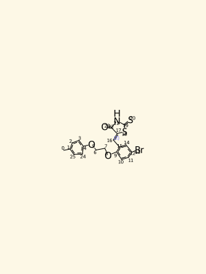 Cc1ccc(OCCOc2ccc(Br)cc2/C=C2\SC(=S)NC2=O)cc1